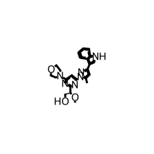 CO[C@@H](CO)c1nc(N2CCOCC2)cc(-n2nc(-c3c[nH]c4ccc#cc34)cc2C)n1